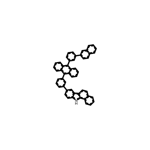 c1cc(-c2ccc3ccccc3c2)cc(-c2c3ccccc3c(-c3cccc(-c4ccc5[nH]c6c7ccccc7ccc6c5c4)c3)c3ccccc23)c1